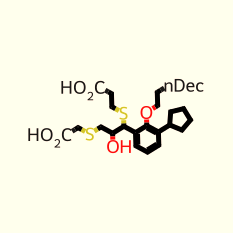 CCCCCCCCCCCCOc1c(C2CCCC2)cccc1C(SCCC(=O)O)C(O)CSCC(=O)O